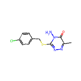 Cc1nnc(SCc2ccc(Cl)cc2)n(N)c1=O